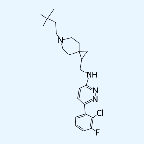 CC(C)(C)CCN1CCC2(CC1)CC2CNc1ccc(-c2cccc(F)c2Cl)nn1